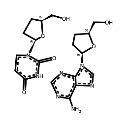 Nc1ncnc2c1ncn2[C@H]1CC[C@@H](CO)O1.O=c1ccn([C@H]2CC[C@@H](CO)O2)c(=O)[nH]1